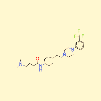 CN(C)CCCC(=O)NC1CCC(CCN2CCN(c3cccc(C(F)(F)F)c3)CC2)CC1